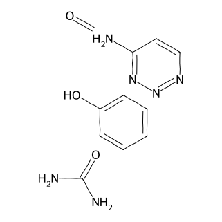 C=O.NC(N)=O.Nc1ccnnn1.Oc1ccccc1